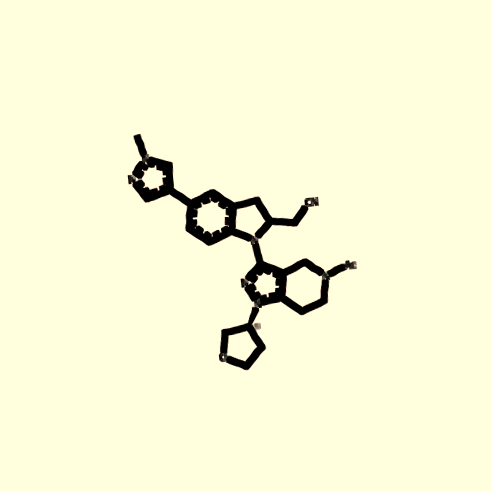 CC(=O)N1CCc2c(c(N3c4ccc(-c5cnn(C)c5)cc4CC3CC#N)nn2[C@H]2CCOC2)C1